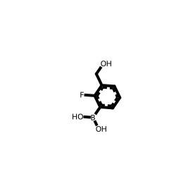 OCc1cccc(B(O)O)c1F